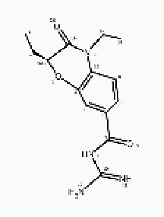 CC[C@@H]1Oc2cc(C(=O)NC(=N)N)ccc2N(CC)C1=O